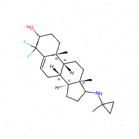 CC1(NC2CC[C@H]3[C@@H]4CC=C5C(F)(F)C(O)CC[C@]5(C)[C@@H]4CC[C@]23C)CC1